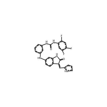 O=C(Nc1cccc(Nc2ccc3c(c2)NC(=O)C3=Cc2ccc[nH]2)c1)Nc1cc(F)c(F)cc1F